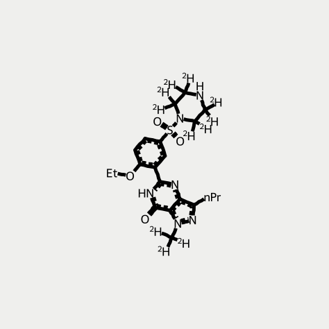 [2H]C([2H])([2H])n1nc(CCC)c2nc(-c3cc(S(=O)(=O)N4C([2H])([2H])C([2H])([2H])NC([2H])([2H])C4([2H])[2H])ccc3OCC)[nH]c(=O)c21